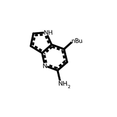 CCCCc1cc(N)nc2cc[nH]c12